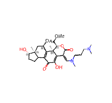 COC[C@H]1OC(=O)C(=CN(C)CCCN(C)C)C2=C(O)C(=O)C3=C([C@H](OC(C)=O)C[C@@]4(C)C3CC[C@@H]4O)[C@]21C